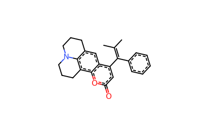 CC(C)=C(c1ccccc1)c1cc(=O)oc2c3c4c(cc12)CCCN4CCC3